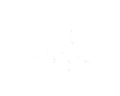 C=N/C(C(=O)O)=C(/N)N(C)CNC(=C)/C=C\C